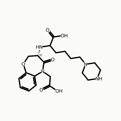 O=C(O)CN1C(=O)[C@@H](NC(CCCCN2CCNCC2)C(=O)O)COc2ccccc21